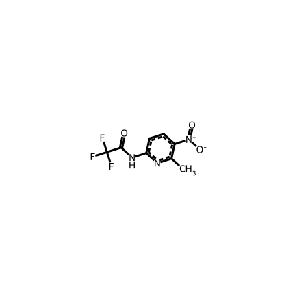 Cc1nc(NC(=O)C(F)(F)F)ccc1[N+](=O)[O-]